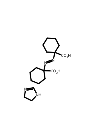 C1=NCCN1.O=C(O)C1(N=NC2(C(=O)O)CCCCC2)CCCCC1